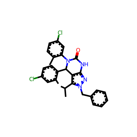 Cc1cc(Cl)ccc1C1c2c(nn(Cc3ccccc3)c2C(C)C)NC(=O)N1c1cc(Cl)ccc1C